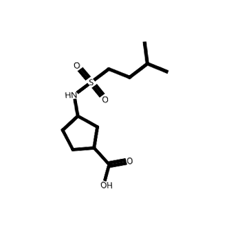 CC(C)CCS(=O)(=O)NC1CCC(C(=O)O)C1